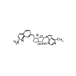 Cc1ncnc2c1ccn2[C@@H]1O[C@@H]2[C@H](Cc3ccc4ccc(N)nc4c3)CC[C@]2(O)[C@H]1O